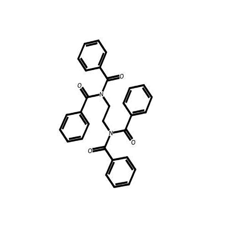 O=C(c1ccccc1)N(CCN(C(=O)c1ccccc1)C(=O)c1ccccc1)C(=O)c1ccccc1